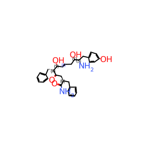 NC(=O)[C@@H](CC(=O)[C@H](Cc1ccccc1)[C@@H](O)/C=C/C[C@H](O)[C@@H](N)Cc1ccc(O)cc1)Cc1ccccc1